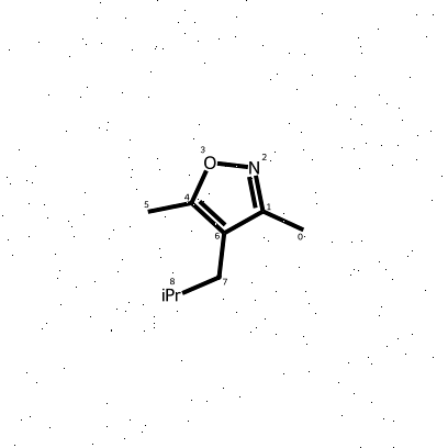 Cc1noc(C)c1CC(C)C